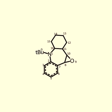 CC(C)(C)N1c2ccccc2C2OC2C2CCCCC21